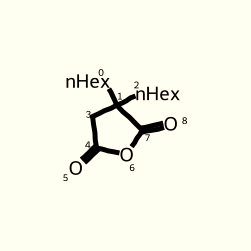 CCCCCCC1(CCCCCC)CC(=O)OC1=O